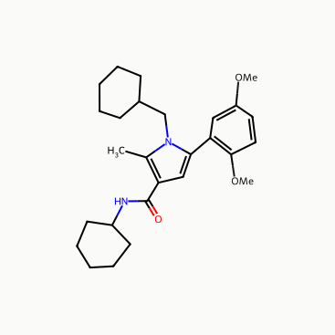 COc1ccc(OC)c(-c2cc(C(=O)NC3CCCCC3)c(C)n2CC2CCCCC2)c1